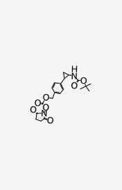 CC(C)(C)OC(=O)NC1CC1c1ccc(COC(=O)ON2C(=O)CCC2=O)cc1